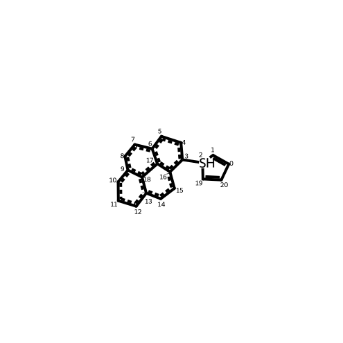 C1=C[SH](c2ccc3ccc4cccc5ccc2c3c45)C=C1